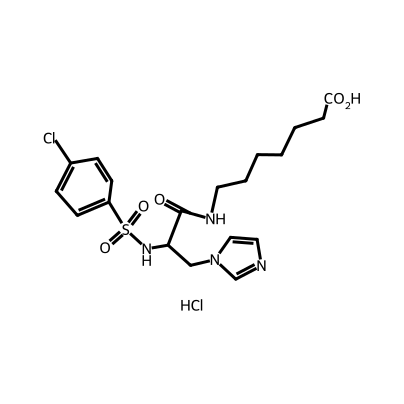 Cl.O=C(O)CCCCCCNC(=O)C(Cn1ccnc1)NS(=O)(=O)c1ccc(Cl)cc1